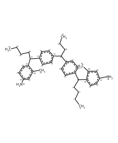 CCCCC(c1ccc(C(CCC)c2ccc(C(CCCC)c3ccc(N)cc3C)cc2)cc1)c1ccc(N)cc1C